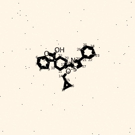 O=C(O)C1(c2ccccc2)CCC(OCC2CC2)(c2nc(-c3ccccc3)cs2)CC1